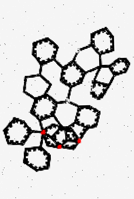 c1ccc(C2(c3ccccc3)c3ccccc3-c3c(N(c4cc(-c5ccccc5C5CCCCC5)c5c(c4)C4(c6ccccc6S5)c5ccccc5-c5ccccc54)c4cccc5oc6ccccc6c45)cccc32)cc1